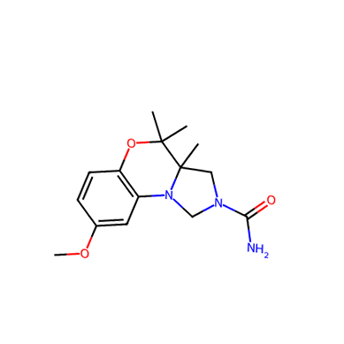 COc1ccc2c(c1)N1CN(C(N)=O)CC1(C)C(C)(C)O2